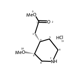 COC(=O)C[C@@H]1CCNC[C@@H]1OC.Cl